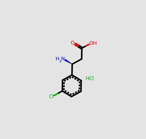 Cl.N[C@@H](CC(=O)O)c1cccc(Cl)c1